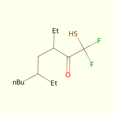 CCCCC(CC)CC(CC)C(=O)C(F)(F)S